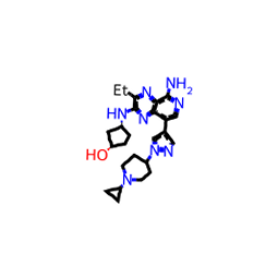 CCc1nc2c(N)ncc(-c3cnn(C4CCN(C5CC5)CC4)c3)c2nc1N[C@@H]1CC[C@H](O)C1